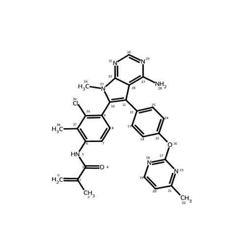 C=C(C)C(=O)Nc1ccc(-c2c(-c3ccc(Oc4nccc(C)n4)cc3)c3c(N)ncnc3n2C)c(Cl)c1C